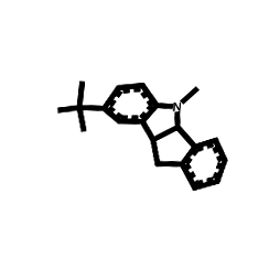 CN1c2ccc(C(C)(C)C)cc2C2Cc3ccccc3C21